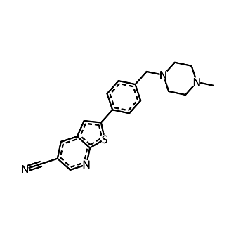 CN1CCN(Cc2ccc(-c3cc4cc(C#N)cnc4s3)cc2)CC1